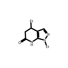 CCC1CC(=O)Nc2c1cnn2CC